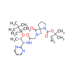 CC(O[Si](C)(C)C(C)(C)C)C(NC(=O)CN1CC2(CCCN2C(=O)OC(C)(C)C)C1=O)c1ncccn1